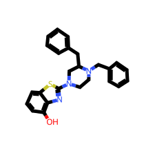 Oc1cccc2sc(N3CCN(Cc4ccccc4)C(Cc4ccccc4)C3)nc12